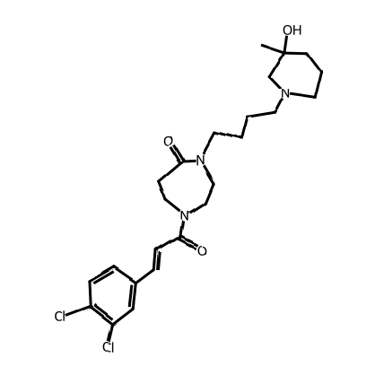 CC1(O)CCCN(CCCCN2CCN(C(=O)/C=C/c3ccc(Cl)c(Cl)c3)CCC2=O)C1